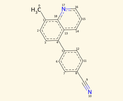 Cc1ccc(-c2ccc(C#N)cc2)c2cccnc12